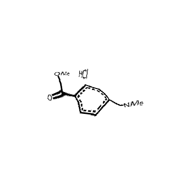 CNc1ccc(C(=O)OC)cc1.Cl